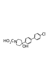 O=C(O)N1CCC(O)(c2ccc(-c3ccc(Cl)cc3)cc2)CC1